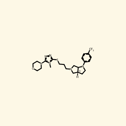 Cn1c(SCCCN2CC3[C@H](CCN3c3ccc(C(F)(F)F)cc3)C2)nnc1N1CCOCC1